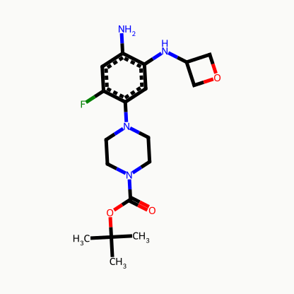 CC(C)(C)OC(=O)N1CCN(c2cc(NC3COC3)c(N)cc2F)CC1